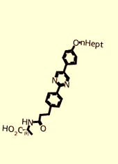 CCCCCCCOc1ccc(-c2cnc(-c3ccc(CCC(=O)N[C@H](C)C(=O)O)cc3)nc2)cc1